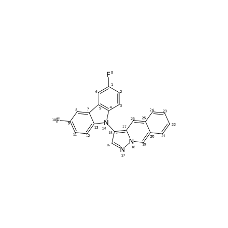 Fc1ccc2c(c1)c1cc(F)ccc1n2-c1cnn2cc3ccccc3cc12